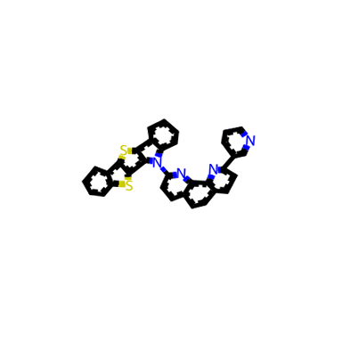 c1cncc(-c2ccc3ccc4ccc(-n5c6ccccc6c6sc7c8ccccc8sc7c65)nc4c3n2)c1